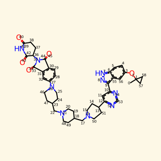 CC1(Oc2ccc3[nH]nc(-c4cc(C5CCN(CC6CCN(CC7CCN(c8ccc9c(c8)C(=O)N(C8CCC(=O)NC8=O)C9=O)CC7)CC6)CC5)ncn4)c3c2)CC1